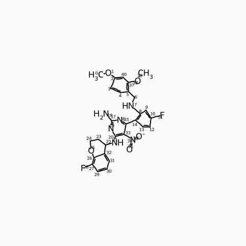 COc1ccc(CNc2cc(F)ccc2-c2nc(N)nc(NC3CCOc4c(F)cccc43)c2[N+](=O)[O-])c(OC)c1